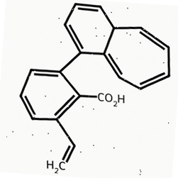 C=Cc1cccc(C2=CC=CC3C=CC=CC=C23)c1C(=O)O